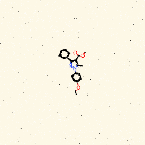 CCOc1ccc(-n2nc(-c3ccccc3)c(C(=O)OC)c2C)cc1